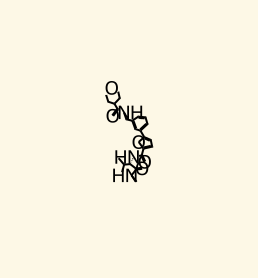 CNC(=O)[C@@H](NC(=O)c1ccc(-c2cccc(CNC(=O)C3CCOCC3)c2)o1)C(C)C